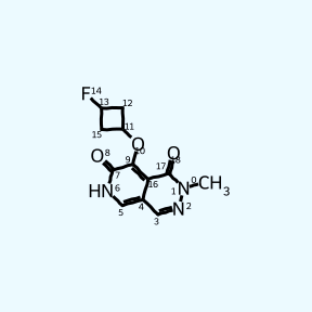 Cn1ncc2c[nH]c(=O)c(OC3CC(F)C3)c2c1=O